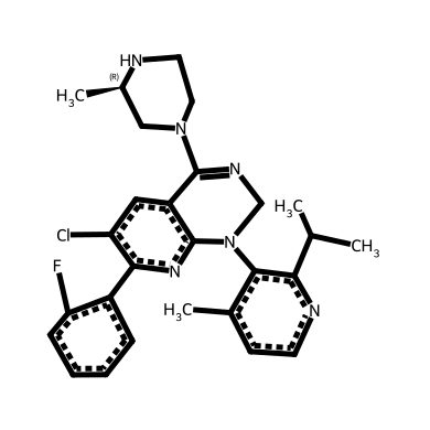 Cc1ccnc(C(C)C)c1N1CN=C(N2CCN[C@H](C)C2)c2cc(Cl)c(-c3ccccc3F)nc21